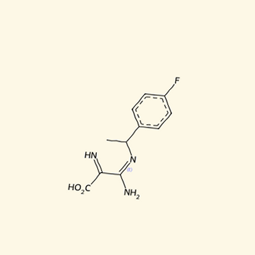 CC(/N=C(/N)C(=N)C(=O)O)c1ccc(F)cc1